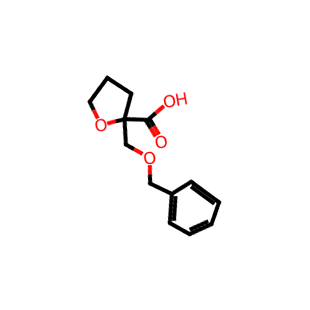 O=C(O)C1(COCc2ccccc2)CCCO1